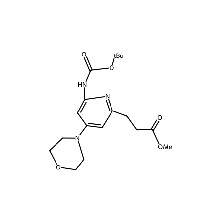 COC(=O)CCc1cc(N2CCOCC2)cc(NC(=O)OC(C)(C)C)n1